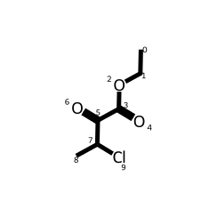 CCOC(=O)C(=O)C(C)Cl